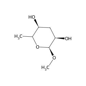 CO[C@H]1OC(C)[C@@H](O)C[C@H]1O